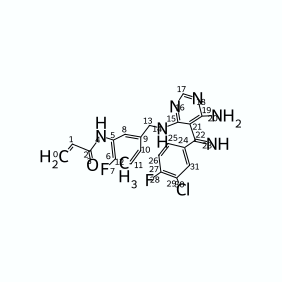 C=CC(=O)NC(=C\F)/C=C(\C=C/C)CNc1ncnc(N)c1C(=N)c1ccc(F)c(Cl)c1